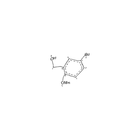 CCC(C)c1ccc(OC)c(CO)c1